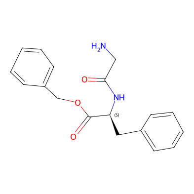 NCC(=O)N[C@@H](Cc1ccccc1)C(=O)OCc1ccccc1